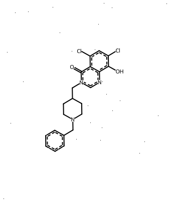 O=c1c2c(Cl)cc(Cl)c(O)c2ncn1CC1CCN(Cc2ccccc2)CC1